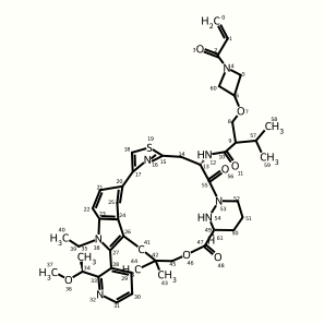 C=CC(=O)N1CC(OCC(C(=O)N[C@H]2Cc3nc(cs3)-c3ccc4c(c3)c(c(-c3cccnc3[C@H](C)OC)n4CC)CC(C)(C)COC(=O)[C@@H]3CCCN(N3)C2=O)C(C)C)C1